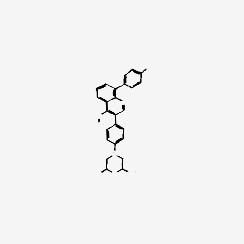 Cc1ccc(-c2cccc3c(OC(C)C)c(-c4ccc(N5CC(C)OC(C)C5)cc4)cnc23)cc1